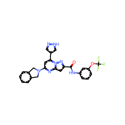 O=C(Nc1cccc(OC(F)(F)F)c1)c1cc2nc(N3Cc4ccccc4C3)cc(-c3cn[nH]c3)n2n1